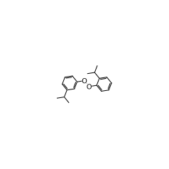 CC(C)c1cccc(OOc2ccccc2C(C)C)c1